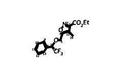 CCOC(=O)c1noc(COC(c2ccccc2)C(F)(F)F)c1C